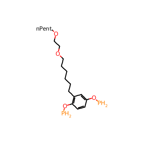 CCCCCOCCOCCCCCCc1cc(OP)ccc1OP